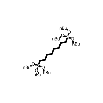 CCCCO[Si](CCCCCCCC[Si](OCCCC)(OCCCC)OCCCC)(OCCCC)OCCCC